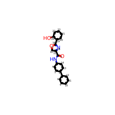 O=C(Nc1ccc(-c2ccccc2)cc1)c1coc(-c2ccccc2O)n1